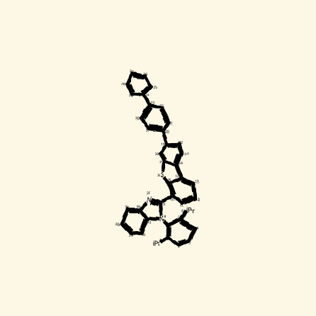 CC(C)c1cccc(C(C)C)c1-n1c(-c2cccc3c2sc2cc(-c4ccc(-c5ccccc5)cc4)ccc23)nc2ccccc21